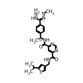 C=N/N=C(\NN)c1ccc([C@H](C)NC(=O)c2cc(C(=O)NCc3csc(C(C)C)c3)ncn2)cc1